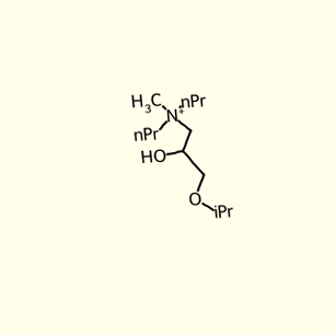 CCC[N+](C)(CCC)CC(O)COC(C)C